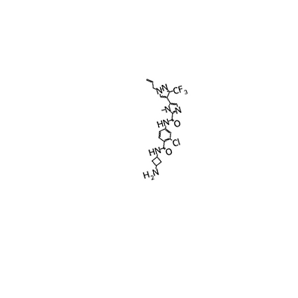 C=CCn1cc(-c2cnc(C(=O)Nc3ccc(C(=O)NC4CC(N)C4)c(Cl)c3)n2C)c(C(F)(F)F)n1